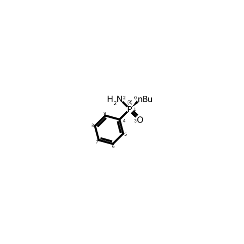 CCCC[P@@](N)(=O)c1ccccc1